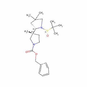 CC1(C)C[C@@H]([C@]2(C)CCN(C(=O)OCc3ccccc3)C2)N([S@@+]([O-])C(C)(C)C)C1